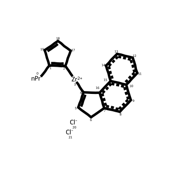 CCCC1=[C]([Zr+2][C]2=CCc3ccc4ccccc4c32)CC=C1.[Cl-].[Cl-]